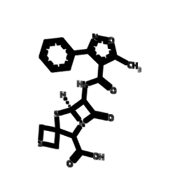 Cc1onc(-c2ccccc2)c1C(=O)NC1C(=O)N2C(C(=O)O)C3(CSC3)S[C@@H]12